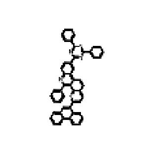 c1ccc(-c2nc(-c3ccccc3)nc(-c3ccc4nc(-c5ccccc5)c5c(ccc6ccc(-c7cc8ccccc8c8ccccc78)nc65)c4c3)n2)cc1